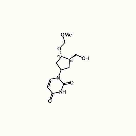 COCO[C@H]1CC(n2ccc(=O)[nH]c2=O)C[C@@H]1CO